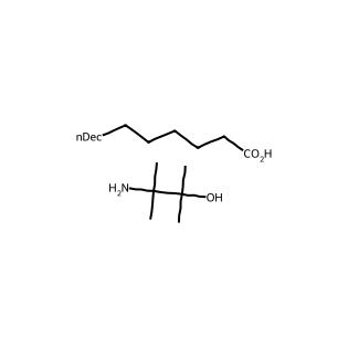 CC(C)(N)C(C)(C)O.CCCCCCCCCCCCCCCC(=O)O